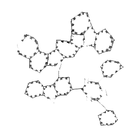 c1ccc(-c2nc(-c3ccccc3)nc(-c3cc(-n4c5cc6c(cc5c5c7ccccc7ccc54)c4cccc5c7ccccc7n6c54)c4c(c3)sc3ccccc34)n2)cc1